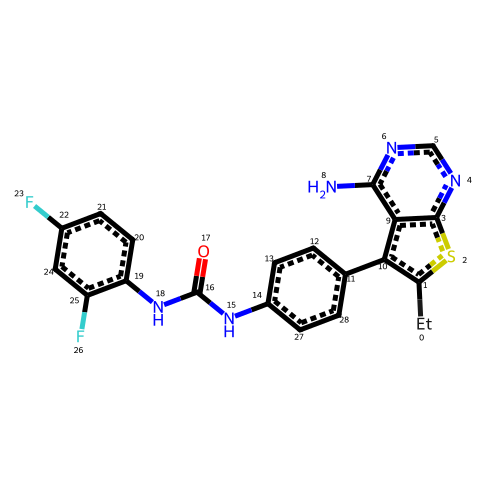 CCc1sc2ncnc(N)c2c1-c1ccc(NC(=O)Nc2ccc(F)cc2F)cc1